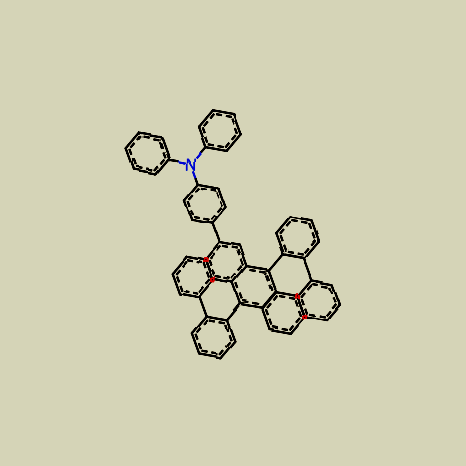 c1ccc(-c2ccccc2-c2c3ccccc3c(-c3ccccc3-c3ccccc3)c3cc(-c4ccc(N(c5ccccc5)c5ccccc5)cc4)ccc23)cc1